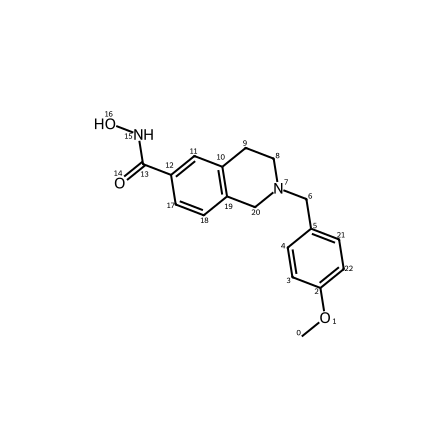 COc1ccc(CN2CCc3cc(C(=O)NO)ccc3C2)cc1